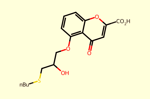 CCCCSCC(O)COc1cccc2oc(C(=O)O)cc(=O)c12